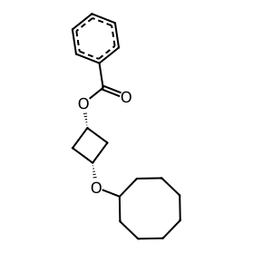 O=C(O[C@H]1C[C@@H](OC2CCCCCCC2)C1)c1ccccc1